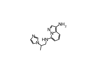 CC(CNc1cccc2c(N)cnn12)n1ccnc1